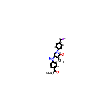 COC(=O)c1ccc(NC2CN(c3ccc(CI)cc3)C(=O)C2C)cc1